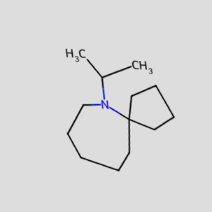 CC(C)N1CCCCCC12CCCC2